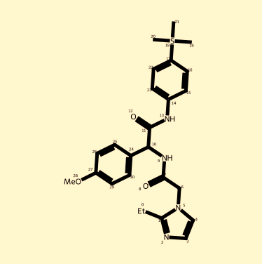 CCc1nccn1CC(=O)NC(C(=O)Nc1ccc(S(C)(C)C)cc1)c1ccc(OC)cc1